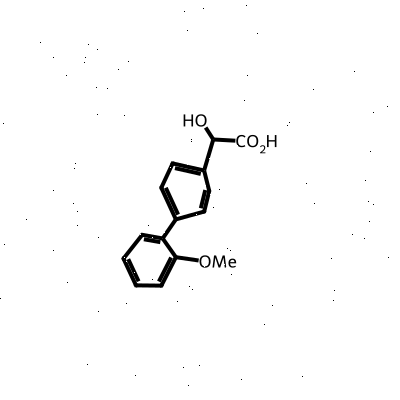 COc1ccccc1-c1ccc(C(O)C(=O)O)cc1